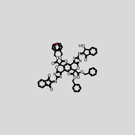 O=C1/C(=N\c2nc3c(s2)-c2cc4c(cc2C(C(=O)OCc2ccccc2)(C(=O)OCc2ccccc2)O3)-c2sc(N=c3c(=O)c5ccccc5c3=O)nc2OC4(C(=O)OCc2ccccc2)C(=O)OCc2ccccc2)C(O)c2ccccc21